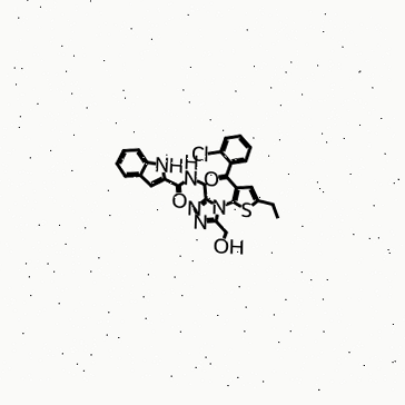 CCc1cc(C(=O)c2ccccc2Cl)c(-n2c(CO)nnc2CNC(=O)c2cc3ccccc3[nH]2)s1